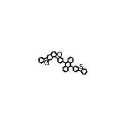 c1ccc2c(c1)oc1cc3c(ccc4oc5cc(-c6c7ccccc7c(-c7ccc8c(c7)sc7ccccc78)c7ccccc67)ccc5c43)cc12